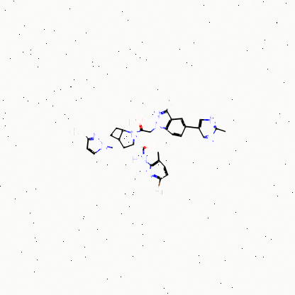 CC(=O)c1nn(CC(=O)N2[C@H](C(=O)Nc3nc(Br)ccc3C)C[C@@]3(Cn4ccc(C(C)(C)C)n4)CC[C@@H]23)c2ccc(-c3cnc(C)nc3)cc12